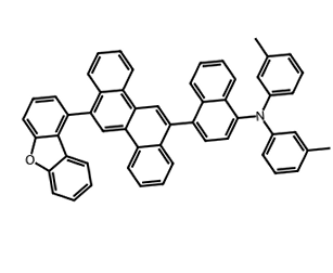 Cc1cccc(N(c2cccc(C)c2)c2ccc(-c3cc4c5ccccc5c(-c5cccc6oc7ccccc7c56)cc4c4ccccc34)c3ccccc23)c1